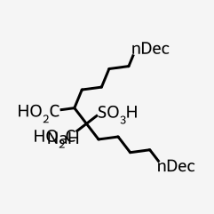 CCCCCCCCCCCCCCC(C(=O)O)C(CCCCCCCCCCCCCC)(C(=O)O)S(=O)(=O)O.[NaH]